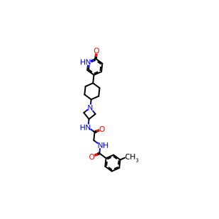 Cc1cccc(C(=O)NCC(=O)NC2CN(C3CCC(c4ccc(=O)[nH]c4)CC3)C2)c1